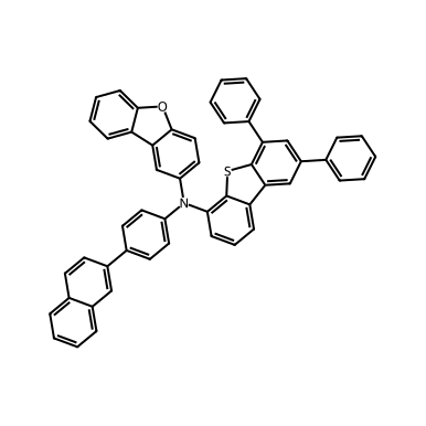 c1ccc(-c2cc(-c3ccccc3)c3sc4c(N(c5ccc(-c6ccc7ccccc7c6)cc5)c5ccc6oc7ccccc7c6c5)cccc4c3c2)cc1